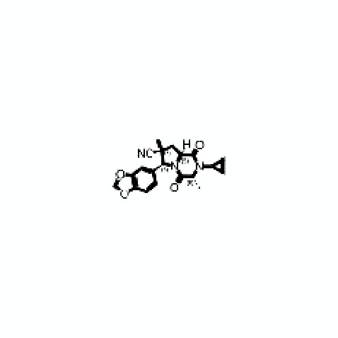 C[C@@H]1C(=O)N2[C@@H](c3ccc4c(c3)OCO4)[C@@](C)(C#N)C[C@H]2C(=O)N1C1CC1